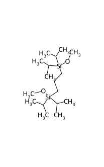 CO[Si](CCC[Si](OC)(C(C)C)C(C)C)(C(C)C)C(C)C